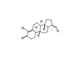 C[C@]12CC[C@H]3[C@@H](CCC4=C(Cl)C(=O)CC[C@@H]43)[C@@H]1CC/C2=C/Cl